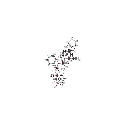 CC(C)(C)OC(=O)N1CC=C(c2cnc(N3C4CCC3CN(c3cc(-c5ccccc5OCc5ccccc5)nnc3N)C4)nc2)CC1